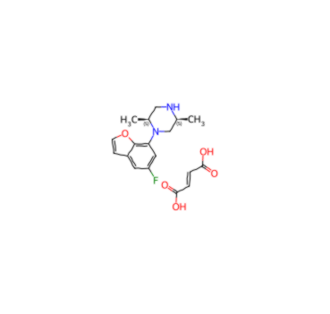 C[C@H]1CN(c2cc(F)cc3ccoc23)[C@@H](C)CN1.O=C(O)C=CC(=O)O